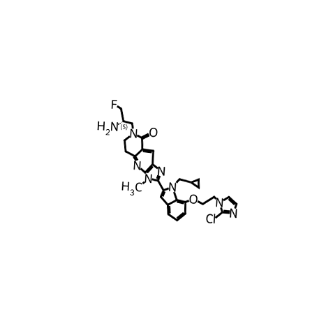 Cn1c(-c2cc3cccc(OCCn4ccnc4Cl)c3n2CC2CC2)nc2cc3c(nc21)CCN(C[C@H](N)CF)C3=O